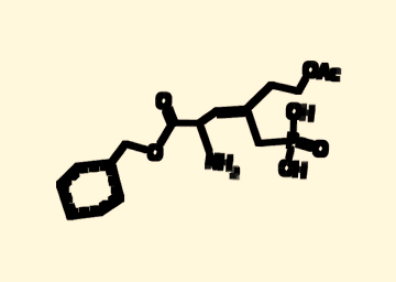 CC(=O)OCC/C(=C/C(N)C(=O)OCc1ccccc1)CP(=O)(O)O